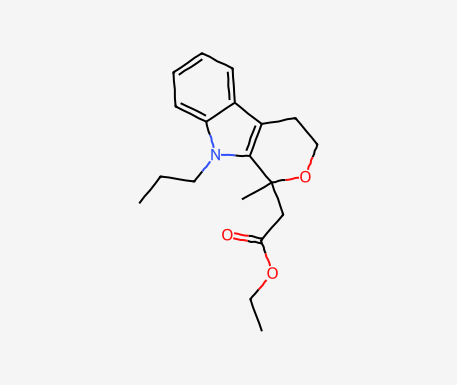 CCCn1c2c(c3ccccc31)CCOC2(C)CC(=O)OCC